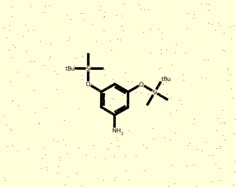 CC(C)(C)[Si](C)(C)Oc1cc(N)cc(O[Si](C)(C)C(C)(C)C)c1